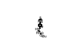 C[C@@H](CNC(=O)OC(C)(C)C)NCc1ccc(-c2ncc(F)cn2)cc1F